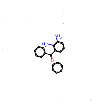 Nc1cccc(C(=O)c2ccccc2)c1N.c1ccccc1